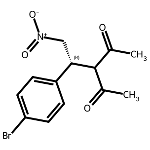 CC(=O)C(C(C)=O)[C@@H](C[N+](=O)[O-])c1ccc(Br)cc1